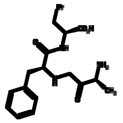 CC(C)C[C@H](NC(=O)[C@H](Cc1ccccc1)NCC(=O)[C@H](C)N)C(=O)O